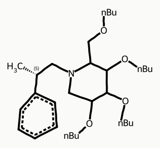 CCCCOCC1C(OCCCC)C(OCCCC)C(OCCCC)CN1C[C@@H](C)c1ccccc1